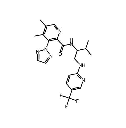 Cc1cnc(C(=O)NC(CNc2ccc(C(F)(F)F)cn2)C(C)C)c(-n2nccn2)c1C